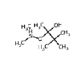 C[SiH](C)OC(C)(O)C(C)(C)C